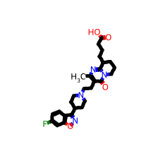 Cc1nc2n(c(=O)c1CCN1CCC(c3noc4cc(F)ccc34)CC1)CCCC2CCCC(=O)O